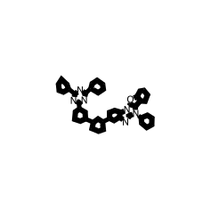 c1ccc(-c2nc(-c3ccccc3)nc(-c3cccc(-c4cccc(-c5ccc6c(c5)nc5n(-c7ccccc7)c7c8ccccc8oc7n65)c4)c3)n2)cc1